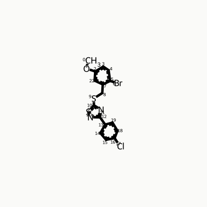 COc1ccc(Br)c(CSc2nc(-c3ccc(Cl)cc3)ns2)c1